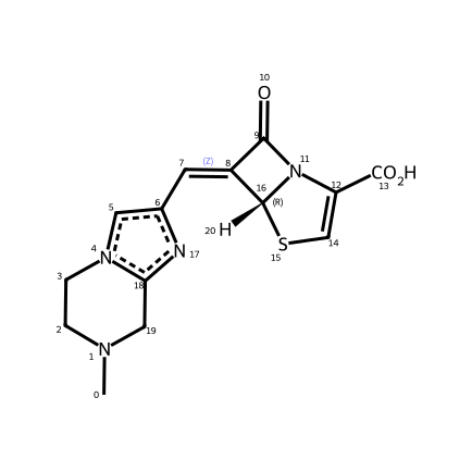 CN1CCn2cc(/C=C3/C(=O)N4C(C(=O)O)=CS[C@H]34)nc2C1